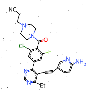 CCc1ncnc(-c2cc(F)c(C(=O)N3CCN(CCC#N)CC3)c(Cl)c2)c1C#Cc1ccc(N)nc1